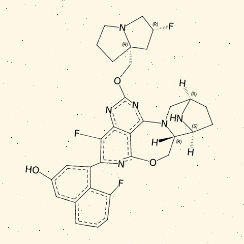 Oc1cc(-c2nc3c4c(nc(OC[C@]56CCCN5C[C@H](F)C6)nc4c2F)N2C[C@H]4CC[C@H](N4)[C@@H]2CO3)c2c(F)cccc2c1